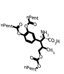 CCCCCOC(=O)OCC(C)C(c1ccc(OC(=O)CCCCC)c(OC(=O)CCCCC)c1)[C@H](N)C(=O)O